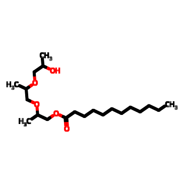 CCCCCCCCCCCC(=O)OCC(C)OCC(C)OCC(C)O